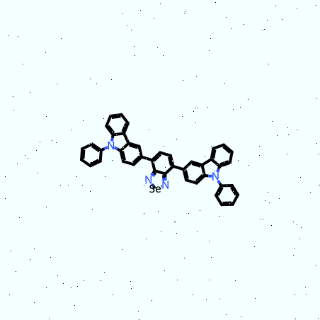 c1ccc(-n2c3ccccc3c3cc(-c4ccc(-c5ccc6c(c5)c5ccccc5n6-c5ccccc5)c5n[se]nc45)ccc32)cc1